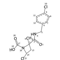 CC1(C(=O)NCc2ccc(Cl)cc2)CC(Cl)N1C(=O)O